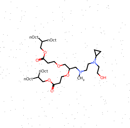 CCCCCCCCC(CCCCCCCC)COC(=O)CCOCC(CN(C)CCN(CCO)C1CC1)OCCC(=O)OCC(CCCCCCCC)CCCCCCCC